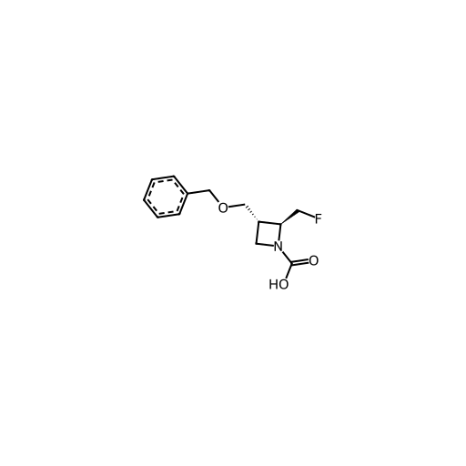 O=C(O)N1C[C@H](COCc2ccccc2)[C@H]1CF